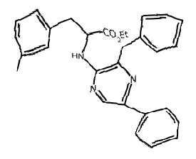 CCOC(=O)C(Cc1cccc(C)c1)Nc1ncc(-c2ccccc2)nc1Cc1ccccc1